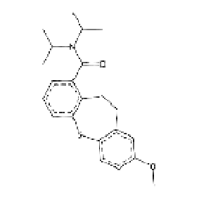 COc1ccc2c(c1)CCc1c(cccc1C(=O)N(C(C)C)C(C)C)S2